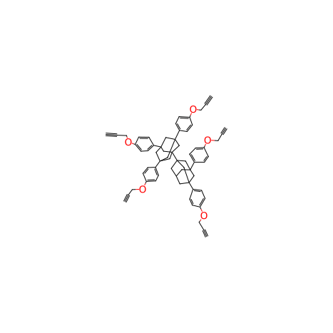 C#CCOc1ccc(C23CC4CC(c5ccc(OCC#C)cc5)(C2)CC(C25CC6(c7ccc(OCC#C)cc7)CC(c7ccc(OCC#C)cc7)(CC(c7ccc(OCC#C)cc7)(C6)C2)C5)(C4)C3)cc1